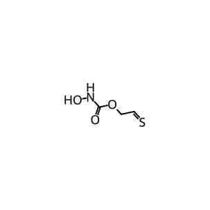 O=C(NO)OCC=S